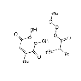 CC(C)(C)/C(=C/C(=O)OO)C(=O)OO.CCCCC(CC)C(=O)OOOC(C)(C)C